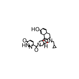 O=C(c1ccc(=O)[nH]n1)N1C[C@H]2CC34CCC1C2C31CCN(CC2CC2)C4CC2C=CC(O)=CC21